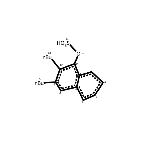 CCCCc1cc2ccccc2c(OS(=O)(=O)O)c1CCCC